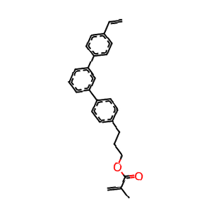 C=Cc1ccc(-c2cccc(-c3ccc(CCCOC(=O)C(=C)C)cc3)c2)cc1